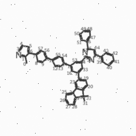 Cc1ncccc1-c1ccc(-c2ccc(-c3cc(-c4ccc5c(c4)-c4ccccc4C5(C)C)cc(-c4nc(-c5ccccc5)cc(-c5ccccc5)n4)c3)cc2)cc1